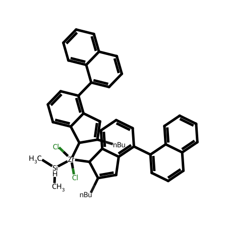 CCCCC1=Cc2c(-c3cccc4ccccc34)cccc2[CH]1[Zr]([Cl])([Cl])([CH]1C(CCCC)=Cc2c(-c3cccc4ccccc34)cccc21)[SiH](C)C